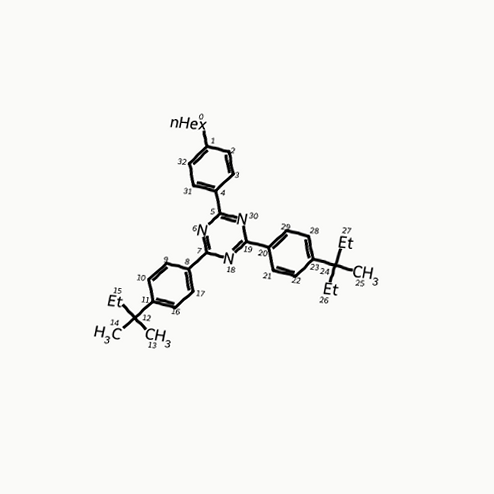 CCCCCCc1ccc(-c2nc(-c3ccc(C(C)(C)CC)cc3)nc(-c3ccc(C(C)(CC)CC)cc3)n2)cc1